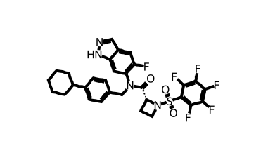 O=C([C@H]1CCN1S(=O)(=O)c1c(F)c(F)c(F)c(F)c1F)N(Cc1ccc(C2CCCCC2)cc1)c1cc2[nH]ncc2cc1F